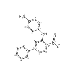 Nc1ccc(Nc2nc(-c3ccccc3)ccc2[N+](=O)[O-])cn1